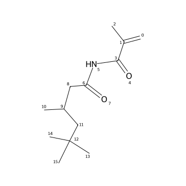 C=C(C)C(=O)NC(=O)CC(C)CC(C)(C)C